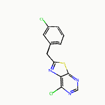 Clc1cccc(Cc2nc3c(Cl)ncnc3s2)c1